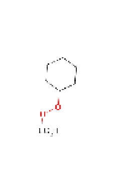 O=C(O)OOC1CCCCC1